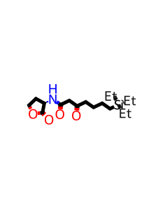 CC[Si](CC)(CC)CCCCC(=O)CC(=O)N[C@H]1CCOC1=O